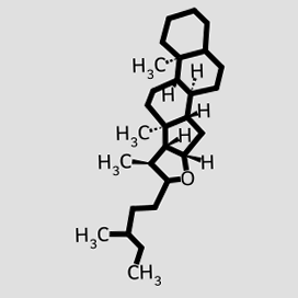 CCC(C)CCC1O[C@H]2C[C@H]3[C@@H]4CCC5CCCC[C@]5(C)[C@H]4CC[C@]3(C)[C@H]2[C@@H]1C